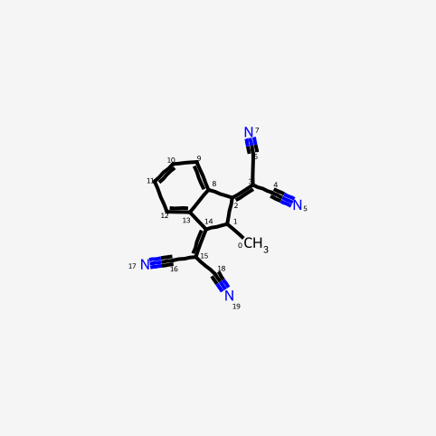 CC1C(=C(C#N)C#N)c2ccccc2C1=C(C#N)C#N